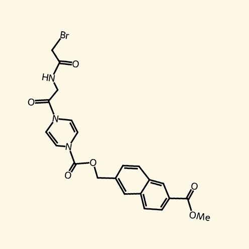 COC(=O)c1ccc2cc(COC(=O)N3C=CN(C(=O)CNC(=O)CBr)C=C3)ccc2c1